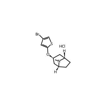 CN1[C@@H]2CC[C@H]1C[C@H](Oc1cc(Br)cs1)C2.Cl